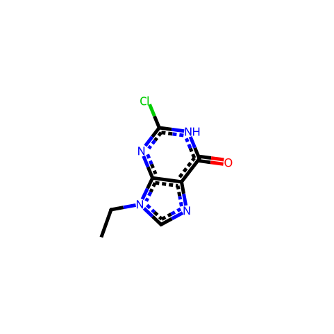 CCn1cnc2c(=O)[nH]c(Cl)nc21